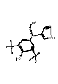 CC(C)(C)c1cc(/C(=N/O)c2cc[nH]n2)cc(C(C)(C)C)c1O